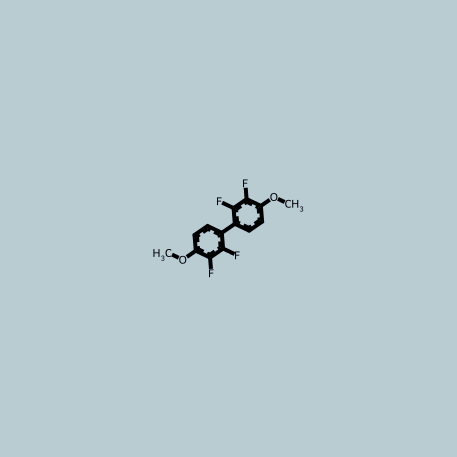 COc1ccc(-c2ccc(OC)c(F)c2F)c(F)c1F